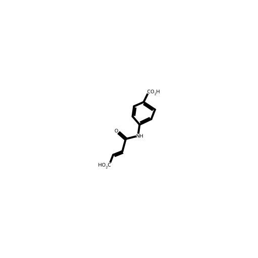 O=C(O)C=CC(=O)Nc1ccc(C(=O)O)cc1